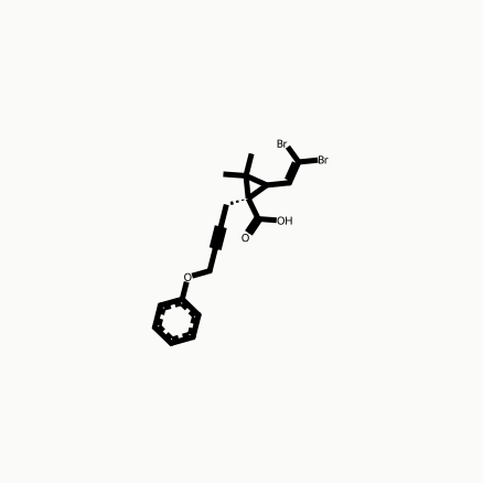 CC1(C)C(C=C(Br)Br)[C@@]1(CC#CCOc1ccccc1)C(=O)O